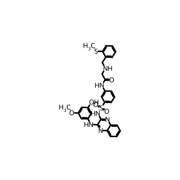 COc1cc(O)cc(Nc2nc3ccccc3nc2NS(=O)(=O)c2cccc(NC(=O)CNCc3ccccc3SC)c2)c1